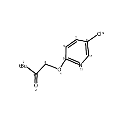 CC(C)(C)C(=O)COc1ccc(Cl)cn1